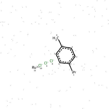 Cc1ccc(C(C)C)cc1.[Cl-].[Cl-].[Cl-].[Ru+3]